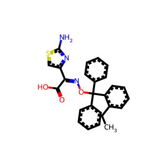 CCc1ccccc1C(ON=C(C(=O)O)c1csc(N)n1)(c1ccccc1)c1ccccc1